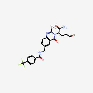 Cc1nc2ccc(CNC(=O)c3ccc(C(F)(F)F)cc3)cc2c(=O)n1C(CCC=O)C(N)=O